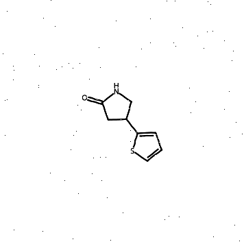 O=C1CC(c2cccs2)CN1